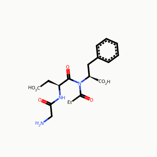 CCC(=O)N(C(=O)[C@H](CC(=O)O)NC(=O)CN)[C@@H](Cc1ccccc1)C(=O)O